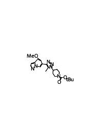 COc1cc(-c2nnn(C3CCN(C(=O)OC(C)(C)C)CC3)c2C)cn2nccc12